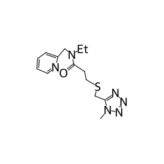 CCN(Cc1ccccn1)C(=O)CCSCc1nnnn1C